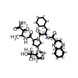 CC(NC(=O)[C@@H]1C[C@H](n2nncc2C(C)(C)O)CN1C(=O)/C(CC1CCCCC1)=N/C(=O)c1cnc2ccccc2n1)C(=O)C(N)=O